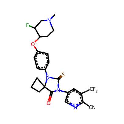 CN1CCC(Oc2ccc(N3C(=S)N(c4cnc(C#N)c(C(F)(F)F)c4)C(=O)C34CCC4)cc2)C(F)C1